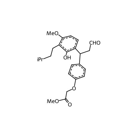 COC(=O)COc1ccc(C(CC=O)c2ccc(OC)c(CCC(C)C)c2O)cc1